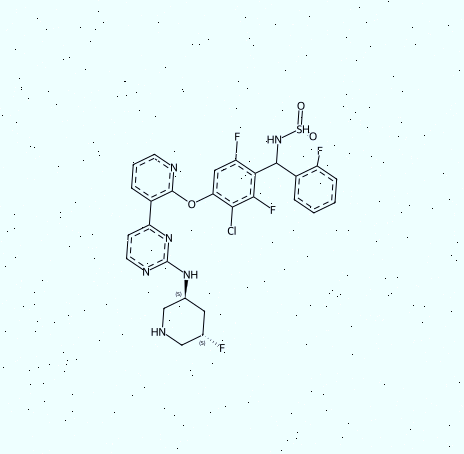 O=[SH](=O)NC(c1ccccc1F)c1c(F)cc(Oc2ncccc2-c2ccnc(N[C@@H]3CNC[C@@H](F)C3)n2)c(Cl)c1F